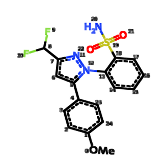 COc1ccc(-c2cc(C(F)F)nn2-c2ccccc2S(N)(=O)=O)cc1